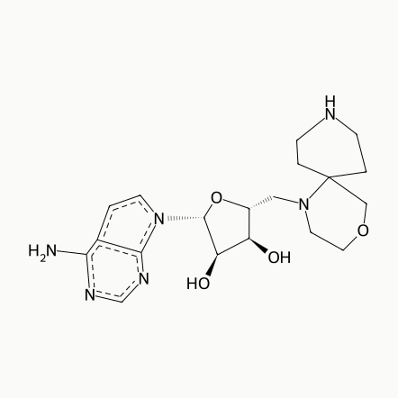 Nc1ncnc2c1ccn2[C@@H]1O[C@H](CN2CCOCC23CCNCC3)[C@@H](O)[C@H]1O